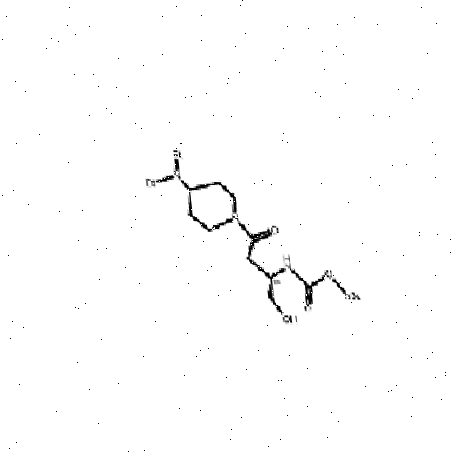 CCCCOC(=O)N[C@@H](CO)CC(=O)N1CCC(N(CC)CC)CC1